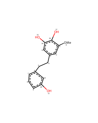 COc1cc(CCc2cccc(O)c2)cc(O)c1O